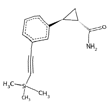 C[Si](C)(C)C#Cc1cccc([C@H]2C[C@@H]2C(N)=O)c1